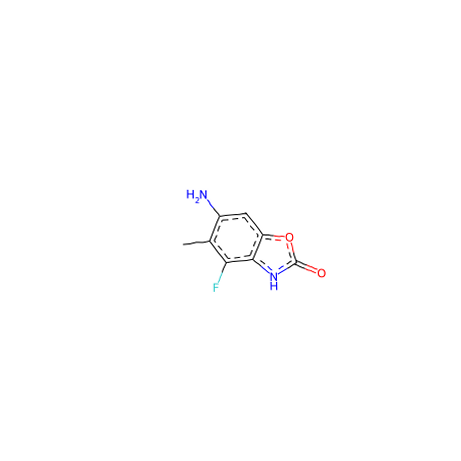 Cc1c(N)cc2oc(=O)[nH]c2c1F